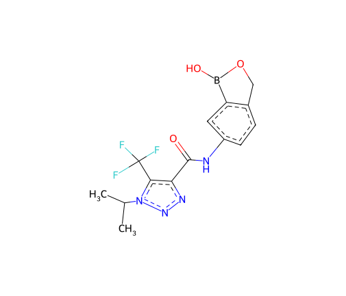 CC(C)n1nnc(C(=O)Nc2ccc3c(c2)B(O)OC3)c1C(F)(F)F